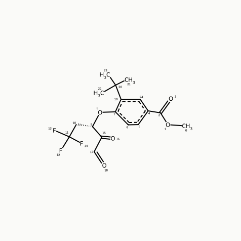 COC(=O)c1ccc(O[C@@H](CC(F)(F)F)C(=O)C=O)c(C(C)(C)C)c1